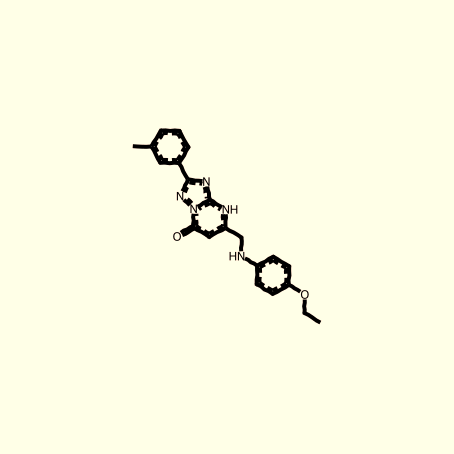 CCOc1ccc(NCc2cc(=O)n3nc(-c4cccc(C)c4)nc3[nH]2)cc1